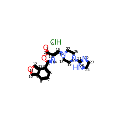 Cl.O=C1OC(c2cccc3cocc23)=NC1=CN1CCN(C2=NCCN2)CC1